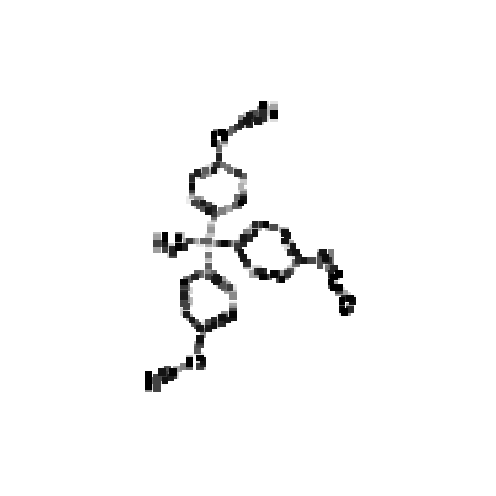 CC(c1ccc(N=C=O)cc1)(c1ccc(OC#N)cc1)c1ccc(OC#N)cc1